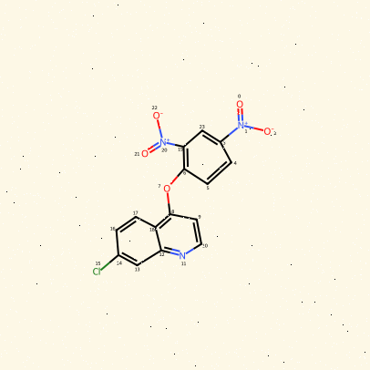 O=[N+]([O-])c1ccc(Oc2ccnc3cc(Cl)ccc23)c([N+](=O)[O-])c1